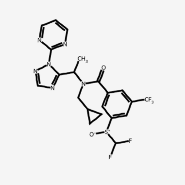 CC(c1ncnn1-c1ncccn1)N(CC1CC1)C(=O)c1cc([S+]([O-])C(F)F)cc(C(F)(F)F)c1